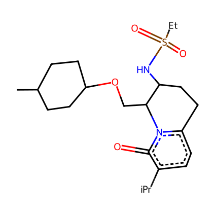 CCS(=O)(=O)NC1CCc2ccc(C(C)C)c(=O)n2C1COC1CCC(C)CC1